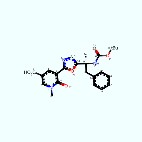 Cn1cc(C(=O)O)cc(-c2nnc([C@](C)(Cc3ccccc3)NC(=O)OC(C)(C)C)o2)c1=O